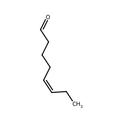 CC/C=C\CCCC=O